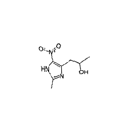 Cc1nc(CC(C)O)c([N+](=O)[O-])[nH]1